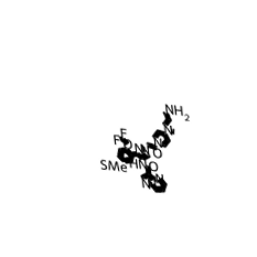 CSc1ccc(OC(F)F)c(-c2nn(CC(=O)N3CCC(N(C)CCCN)CC3)cc2NC(=O)c2cnn3cccnc23)c1